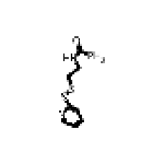 O=C(P)NCCSSc1ccccn1